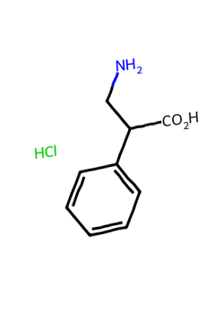 Cl.NCC(C(=O)O)c1ccccc1